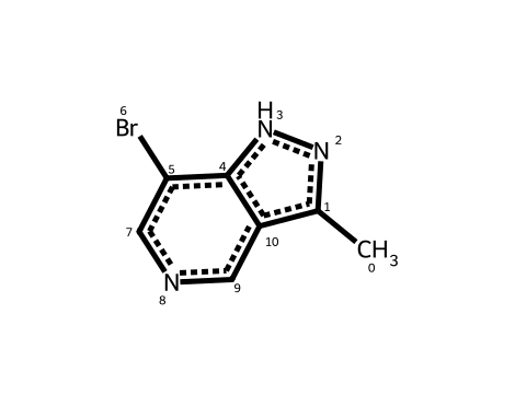 Cc1n[nH]c2c(Br)cncc12